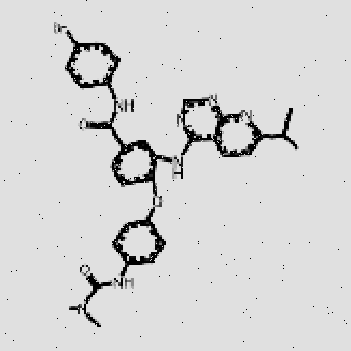 CC(C)c1ccc2c(Nc3cc(C(=O)Nc4ccc(Br)cc4)ccc3Oc3ccc(NC(=O)N(C)C)cc3)ncnc2n1